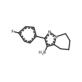 Bc1c(-c2ccc(F)cc2)nn2c1CCCC2